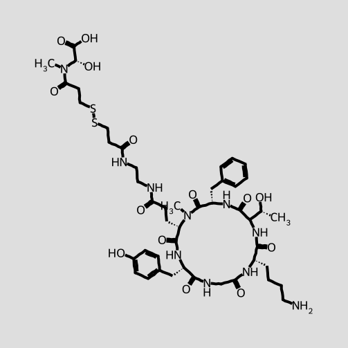 C[C@@H](O)C1NC(=O)[C@H](CCCCN)NC(=O)CNC(=O)[C@H](Cc2ccc(O)cc2)NC(=O)[C@H](CCC(=O)NCCNC(=O)CCSSCCC(=O)N(C)[C@@H](O)C(=O)O)N(C)C(=O)[C@H](Cc2ccccc2)NC1=O